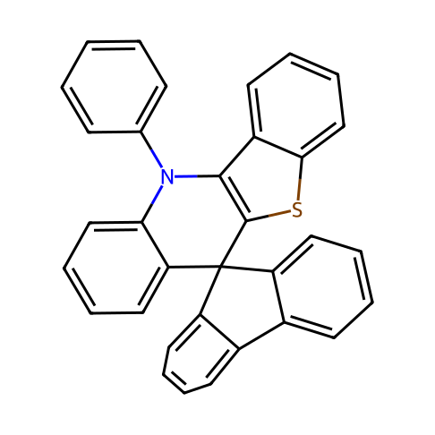 c1ccc(N2c3ccccc3C3(c4ccccc4-c4ccccc43)c3sc4ccccc4c32)cc1